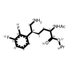 CC(=O)NC(CC[C@H](CN)c1cccc(F)c1F)C(=O)OC(C)C